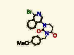 COc1ccc(CN2C(=O)CCN(c3cnc(Br)c4ccccc34)C2=O)cc1